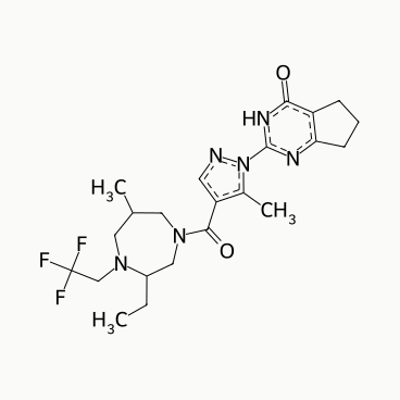 CCC1CN(C(=O)c2cnn(-c3nc4c(c(=O)[nH]3)CCC4)c2C)CC(C)CN1CC(F)(F)F